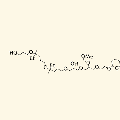 CCC(C)(CCCOCC(O)COCC(COCCOC1CCCCO1)OCOC)OCCCC(C)(CC)OCCCO